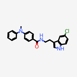 CN(c1ccccc1)c1ccc(C(=O)NCCc2c[nH]c3ccc(Cl)cc23)cc1